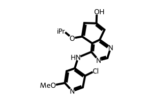 COc1cc(Nc2ncnc3cc(O)cc(OC(C)C)c23)c(Cl)cn1